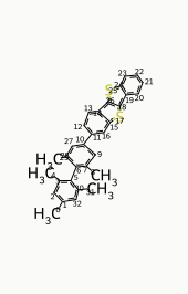 Cc1cc(C)c(-c2c(C)cc(-c3ccc4c(c3)sc3c5ccccc5sc43)cc2C)c(C)c1